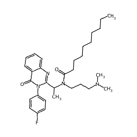 CCCCCCCCCC(=O)N(CCCN(C)C)C(C)c1nc2ccccc2c(=O)n1-c1ccc(F)cc1